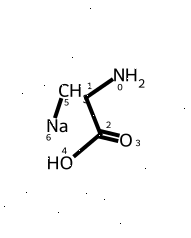 NCC(=O)O.[CH3][Na]